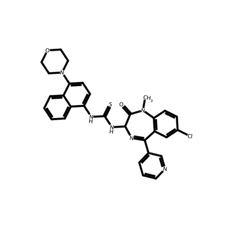 CN1C(=O)C(NC(=S)Nc2ccc(N3CCOCC3)c3ccccc23)N=C(c2cccnc2)c2cc(Cl)ccc21